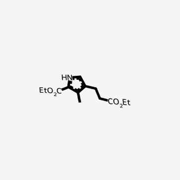 CCOC(=O)CCc1c[nH]c(C(=O)OCC)c1C